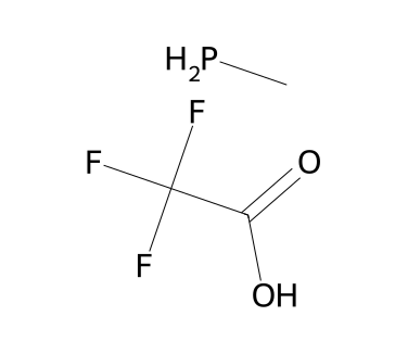 CP.O=C(O)C(F)(F)F